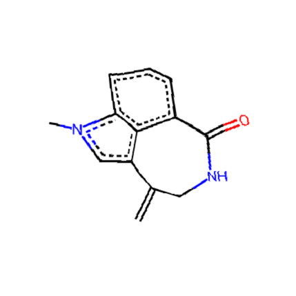 C=C1CNC(=O)c2cccc3c2c1cn3C